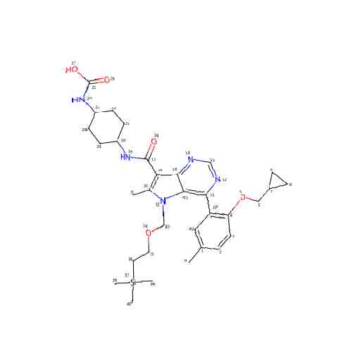 Cc1ccc(OCC2CC2)c(-c2ncnc3c(C(=O)NC4CCC(NC(=O)O)CC4)c(C)n(COCC[Si](C)(C)C)c23)c1